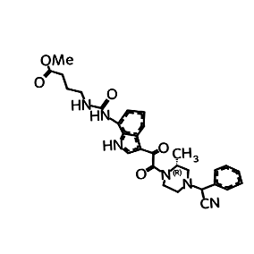 COC(=O)CCCNC(=O)Nc1cccc2c(C(=O)C(=O)N3CCN(C(C#N)c4ccccc4)C[C@H]3C)c[nH]c12